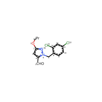 CC(C)Oc1cc(C=O)n(Cc2ccc(Cl)cc2Cl)n1